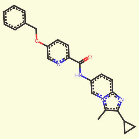 Cc1c(C2CC2)nc2ccc(NC(=O)c3ccc(OCc4ccccc4)cn3)cn12